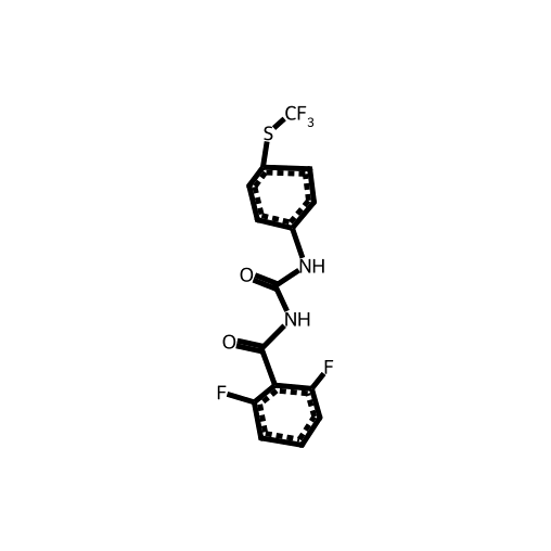 O=C(NC(=O)c1c(F)cccc1F)Nc1ccc(SC(F)(F)F)cc1